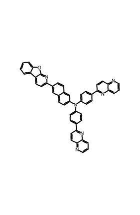 c1cnc2ccc(-c3ccc(N(c4ccc(-c5ccc6ncccc6n5)cc4)c4ccc5cc(-c6ccc7c(n6)oc6ccccc67)ccc5c4)cc3)nc2c1